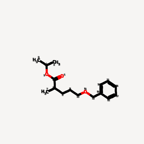 CC(C)OC(=O)C(C)CCCOCc1ccccc1